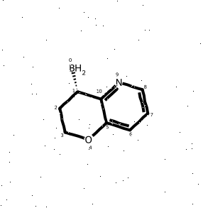 B[C@H]1CCOc2cccnc21